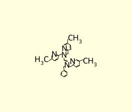 CCc1ccc(CN(C=CN(Cc2ccc(CC)cn2)Cc2ccc(CC)cn2)Cc2ccccc2)nc1